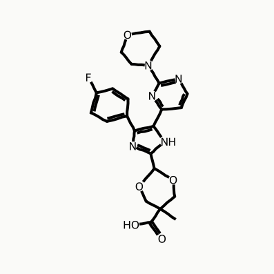 CC1(C(=O)O)COC(c2nc(-c3ccc(F)cc3)c(-c3ccnc(N4CCOCC4)n3)[nH]2)OC1